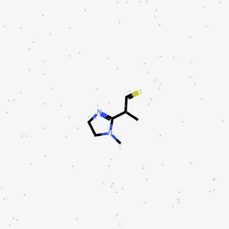 CC(C=S)C1=NCCN1C